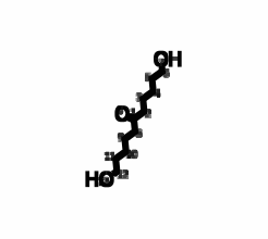 O=C(CCCCCO)CCCCCO